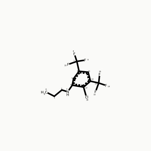 CCCNc1cc(C(F)(F)F)cc(C(F)(F)F)c1Cl